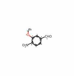 CC(C)Oc1cc(C=O)ccc1[N+](=O)[O-]